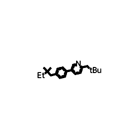 CCC(C)(C)Cc1ccc(-c2ccc(CC(C)(C)C)nc2)cc1